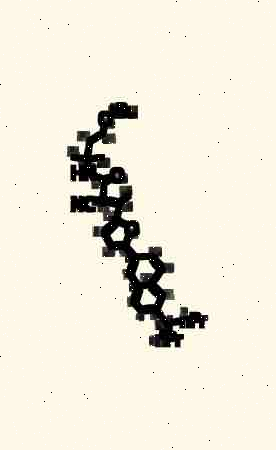 CCCN(CCC)c1ccc2cc(-c3ccc(/C(C)=C(\C#N)C(=O)NC(C)(C)CCOC(C)(C)C)o3)ccc2c1